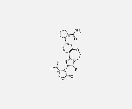 NC(=O)[C@@H]1CCCN1c1ccc2c(c1)OCCn1c-2nc(N2C(=O)OC[C@H]2C(F)F)c1F